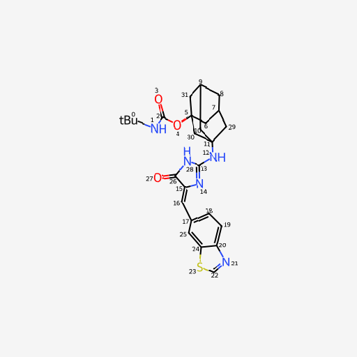 CC(C)(C)NC(=O)OC12CC3CC(CC(NC4=N/C(=C\c5ccc6ncsc6c5)C(=O)N4)(C3)C1)C2